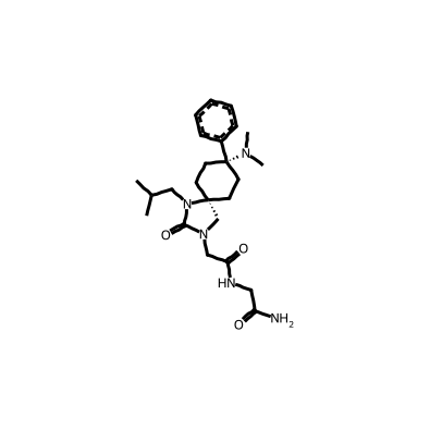 CC(C)CN1C(=O)N(CC(=O)NCC(N)=O)C[C@]12CC[C@@](c1ccccc1)(N(C)C)CC2